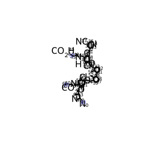 C/N=C/c1cncc(COc2cc(OCc3cccc(-c4cccc(COc5cc(OCc6cncc(C#N)c6)c(CNC/C=C\C(=O)O)cc5Cl)c4C)c3C)c(Cl)cc2CNC/C=C\C(=O)O)c1